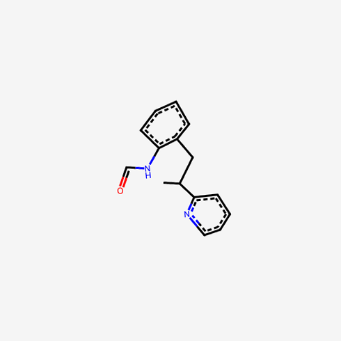 CC(Cc1ccccc1NC=O)c1ccccn1